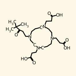 CC(C)(C)C(=O)CCN1CCCN(CCC(=O)O)CCN(CCC(=O)O)CCCN(CCC(=O)O)CC1